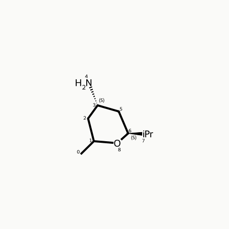 CC1C[C@H](N)C[C@@H](C(C)C)O1